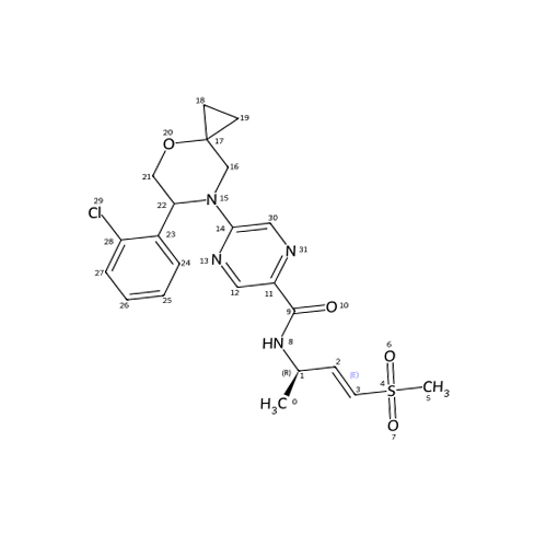 C[C@H](/C=C/S(C)(=O)=O)NC(=O)c1cnc(N2CC3(CC3)OCC2c2ccccc2Cl)cn1